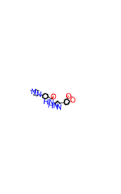 CN1CCN(c2ccc(C(=O)Nc3cc(-c4ccc5c(c4)OCO5)n[nH]3)cc2)CC1